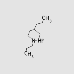 CCCC1CCN(CCC)CC1.F